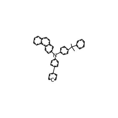 CC(C)(c1ccccc1)c1ccc(N(c2ccc(-c3ccccc3)cc2)c2ccc3c(ccc4ccccc43)c2)cc1